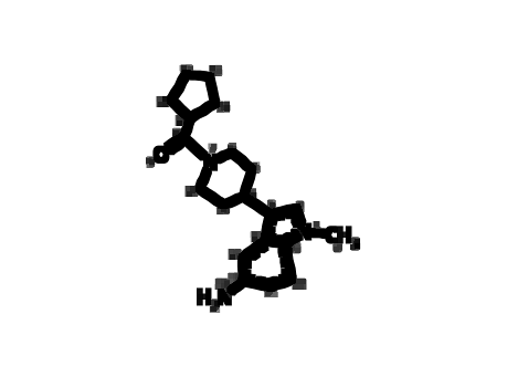 Cn1cc(C2CCN(C(=O)C3CCCC3)CC2)c2cc(N)ccc21